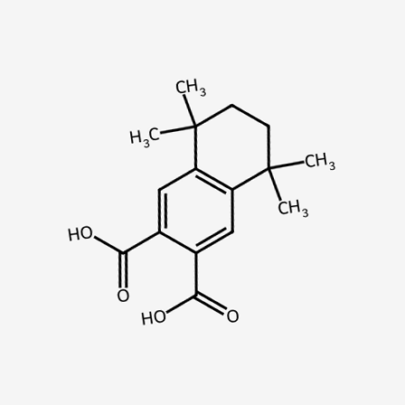 CC1(C)CCC(C)(C)c2cc(C(=O)O)c(C(=O)O)cc21